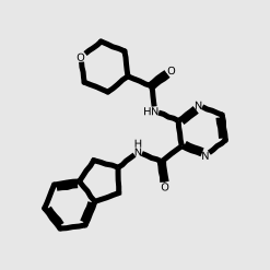 O=C(NC1Cc2ccccc2C1)c1nccnc1NC(=O)C1CCOCC1